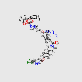 CC(C)(C)OC(=O)N1CC(/C=C/COc2ccc(C(=O)N3CCC(c4ccc(Oc5ccc(C(F)(F)F)nn5)cc4)CC3)cc2N)C1